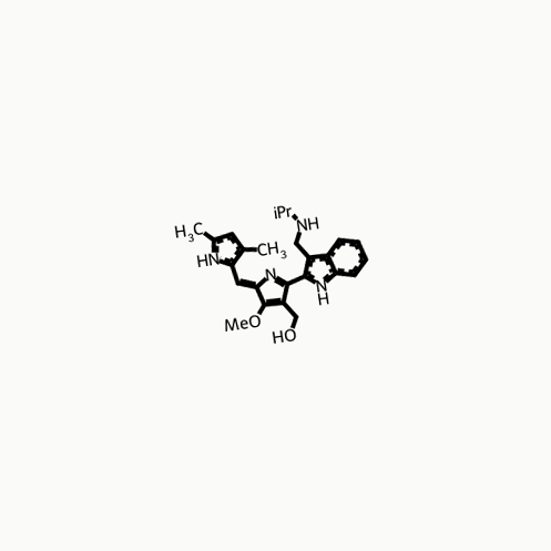 COC1=C(CO)C(c2[nH]c3ccccc3c2CNC(C)C)=NC1=Cc1[nH]c(C)cc1C